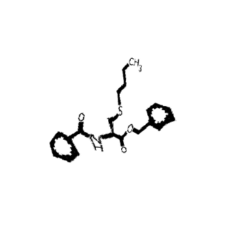 CCCCSC[C@H](NC(=O)c1ccccc1)C(=O)OCc1ccccc1